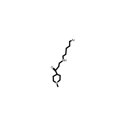 CC(=O)CCCCCNCCC(=O)C1CCN(C)CC1